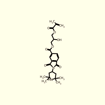 C=C(C)C(=O)OCC(O)COC(=O)c1ccc2c(c1)C(=O)N(C1CC(C)(C)NC(C)(C)C1)C2=O